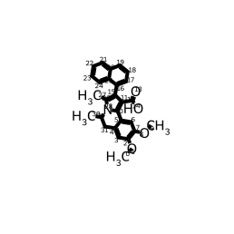 COc1cc2c(cc1OC)-c1c(C(=O)O)c(-c3cccc4ccccc34)c(C)n1C(C)C2